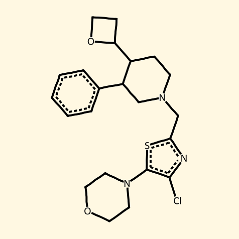 Clc1nc(CN2CCC(C3CCO3)C(c3ccccc3)C2)sc1N1CCOCC1